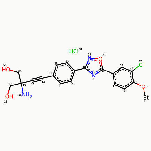 CCOc1ccc(-c2nc(-c3ccc(C#CC(N)(CO)CO)cc3)no2)cc1Cl.Cl